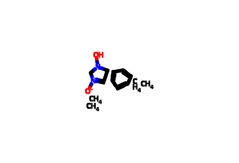 C.C.C.C.[O-][N+]1=CCN(O)C1.c1ccccc1